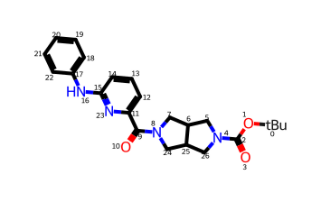 CC(C)(C)OC(=O)N1CC2CN(C(=O)c3cccc(Nc4ccccc4)n3)CC2C1